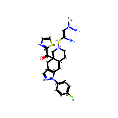 CCCN(N)/C=C(\N)SN1CCC2=Cc3c(cnn3-c3ccc(F)cc3)CC2(C(=O)c2nccs2)C1